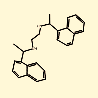 CC(NCCNC(C)c1cccc2ccccc12)c1cccc2ccccc12